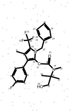 Cc1c(-c2ccc(F)cc2)c(OC(=O)N(C)C(C)(C)CO)n(Cc2ccccc2)c1C(F)(F)F